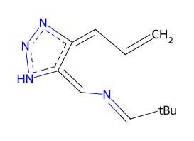 C=C/C=c1/nn[nH]/c1=C/N=C/C(C)(C)C